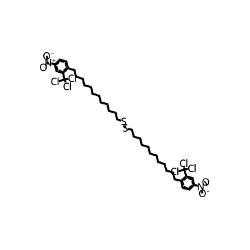 O=[N+]([O-])c1ccc(CCCCCCCCCCCCSSCCCCCCCCCCCCc2ccc([N+](=O)[O-])cc2C(Cl)(Cl)Cl)c(C(Cl)(Cl)Cl)c1